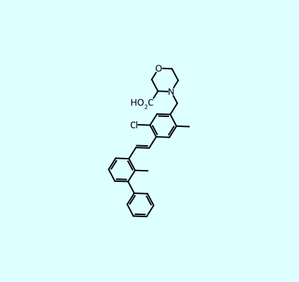 Cc1cc(C=Cc2cccc(-c3ccccc3)c2C)c(Cl)cc1CN1CCOCC1C(=O)O